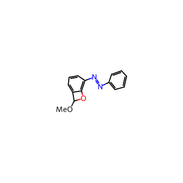 COC1Oc2c(N=Nc3ccccc3)cccc21